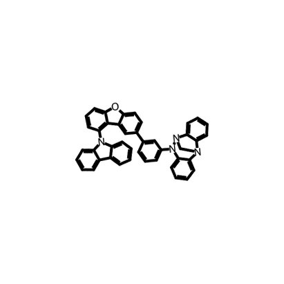 c1cc(-c2ccc3oc4cccc(-n5c6ccccc6c6ccccc65)c4c3c2)cc(-n2c3ccccc3n3c4ccccc4n2C3)c1